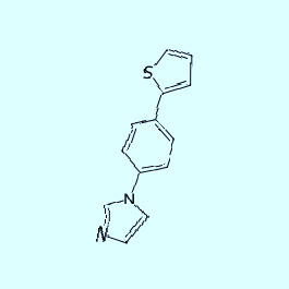 c1csc(-c2ccc(-n3ccnc3)cc2)c1